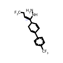 NN/C(=C\CC(F)(F)F)C1C=CC(c2ccc(C(F)(F)F)cc2)=CC1